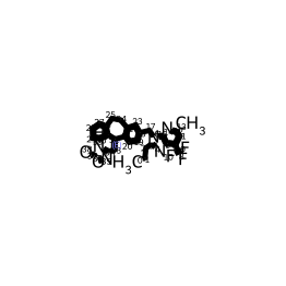 CCCc1nc2c(C(F)(F)F)cc(C)nc2n1Cc1ccc2c(c1)CCc1ccccc1/C2=C\c1noc(=O)[nH]1